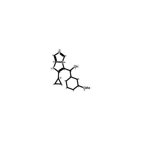 COC1CCCC(C(O)c2c(C3CC3)sc3cncn23)C1